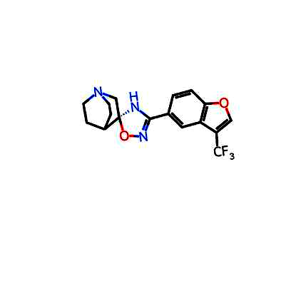 FC(F)(F)c1coc2ccc(C3=NO[C@@]4(CN5CCC4CC5)N3)cc12